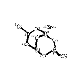 [O-]B1OB2OB([O-])OB(O1)O2.[Sr+2]